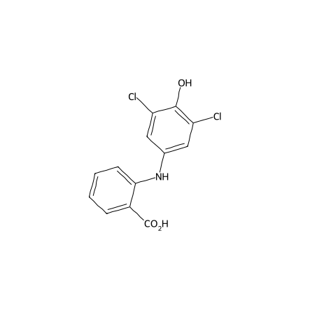 O=C(O)c1ccccc1Nc1cc(Cl)c(O)c(Cl)c1